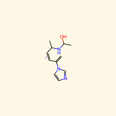 C=C(/C=C\C(C)NC(C)O)n1ccnc1